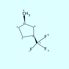 C[C@@H]1CC[C@H](C(F)(F)F)C1